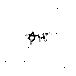 CC(C)(C)OC(=O)NCC12CNCC1(C(F)(F)F)C2